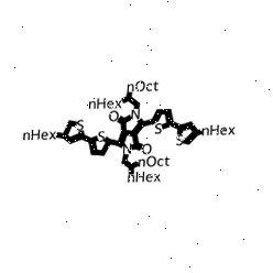 CCCCCCCCC(CCCCCC)CN1C(=O)C2=C(C3CC=C(C4=CC(CCCCCC)CS4)S3)N(CC(CCCCCC)CCCCCCCC)C(=O)C2=C1c1ccc(-c2cc(CCCCCC)cs2)s1